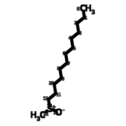 CCCCCCCCCCCCC[S+](C)[O-]